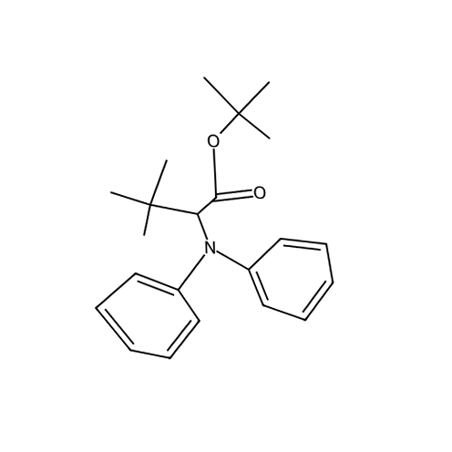 CC(C)(C)OC(=O)C(N(c1ccccc1)c1ccccc1)C(C)(C)C